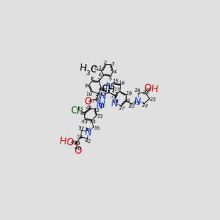 Cc1ccccc1C1=CC=CC(Nc2nccc3cc(CN4CCC(O)C4)cnc23)(c2nc3cc(CN4CC(C(=O)O)C4)cc(Cl)c3o2)[C@H]1C